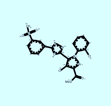 COC(=O)c1nn(-c2ccccc2Cl)c(-c2nnc(-c3cccc(S(C)(=O)=O)c3)o2)c1Cl